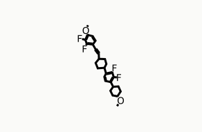 COc1ccc(C#CC2CCC(c3ccc(C4CCC(OC)CC4)c(F)c3F)CC2)c(F)c1F